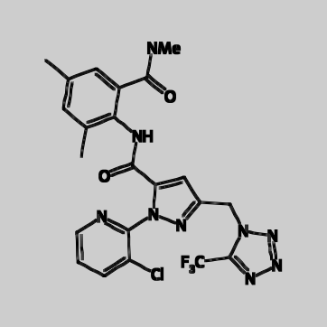 CNC(=O)c1cc(C)cc(C)c1NC(=O)c1cc(Cn2nnnc2C(F)(F)F)nn1-c1ncccc1Cl